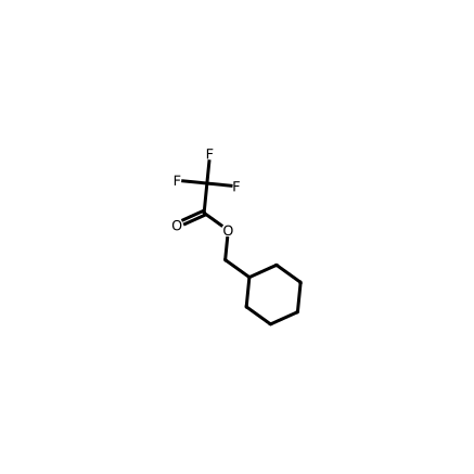 O=C(OCC1CCCCC1)C(F)(F)F